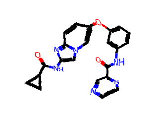 O=C(Nc1cccc(Oc2ccc3nc(NC(=O)C4CC4)cn3c2)c1)c1cnccn1